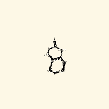 S=C1C[N]c2ccccc2N1